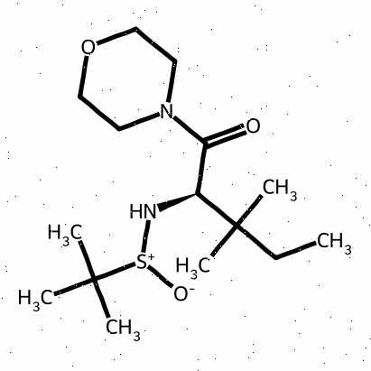 CCC(C)(C)[C@@H](N[S+]([O-])C(C)(C)C)C(=O)N1CCOCC1